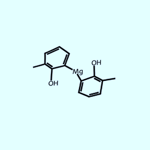 Cc1ccc[c]([Mg][c]2cccc(C)c2O)c1O